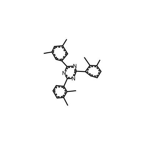 Cc1cc(C)cc(-c2nc(-c3cccc(C)c3C)nc(-c3cccc(C)c3C)n2)c1